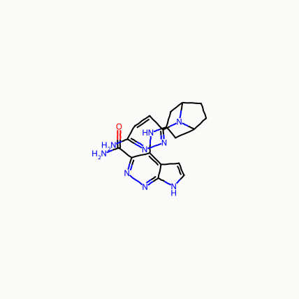 NC(=O)c1nnc2[nH]ccc2c1NC1CC2CCC(C1)N2c1ccc(N)nn1